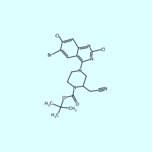 CC(C)(C)OC(=O)N1CCN(c2nc(Cl)nc3cc(Cl)c(Br)cc23)CC1CC#N